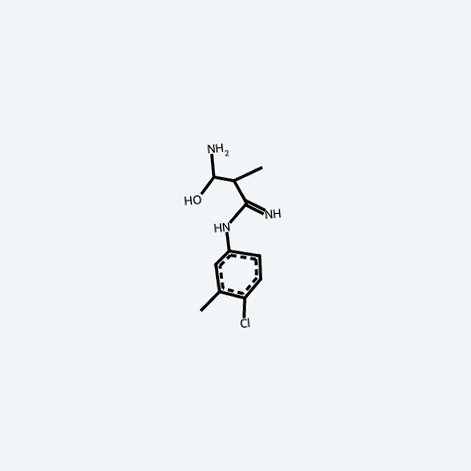 Cc1cc(NC(=N)C(C)C(N)O)ccc1Cl